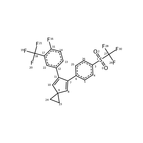 O=S(=O)(c1ccc(C2=CC3(C=C2c2ccc(F)c(C(F)(F)F)c2)CC3)cc1)C(F)(F)F